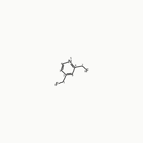 FCc1ccnc(CF)c1